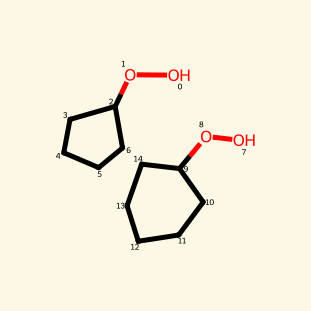 OOC1CCCC1.OOC1CCCCC1